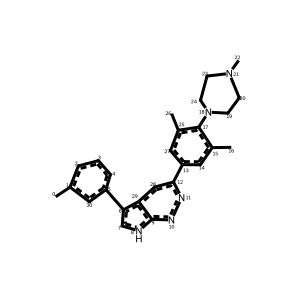 Cc1cccc(-c2c[nH]c3nnc(-c4cc(C)c(N5CCN(C)CC5)c(C)c4)cc23)c1